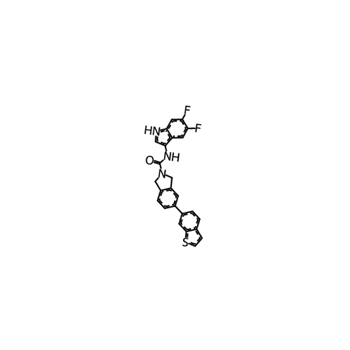 O=C(Nc1c[nH]c2cc(F)c(F)cc12)N1Cc2ccc(-c3ccc4ccsc4c3)cc2C1